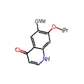 COc1cc2c(=O)cc[nH]c2cc1OC(C)C